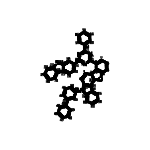 C1=CC2c3c(cccc3-c3nc(-c4ccccc4)nc(-c4ccc5c(c4)sc4ccccc45)n3)OC2c2c1n(-c1cccc(-c3ccccc3)c1)c1ccccc21